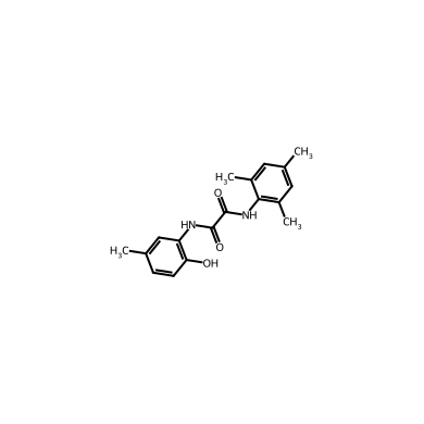 Cc1cc(C)c(NC(=O)C(=O)Nc2cc(C)ccc2O)c(C)c1